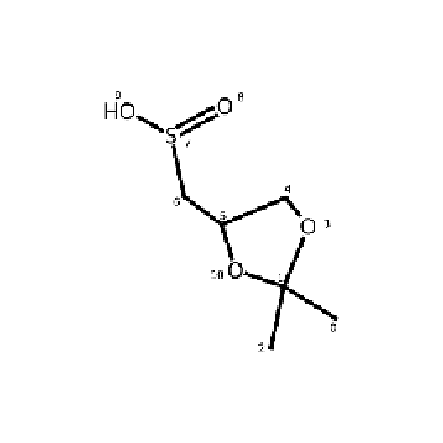 CC1(C)OCC(CS(=O)O)O1